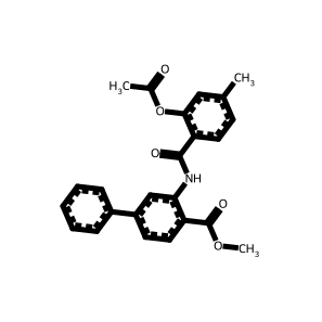 COC(=O)c1ccc(-c2ccccc2)cc1NC(=O)c1ccc(C)cc1OC(C)=O